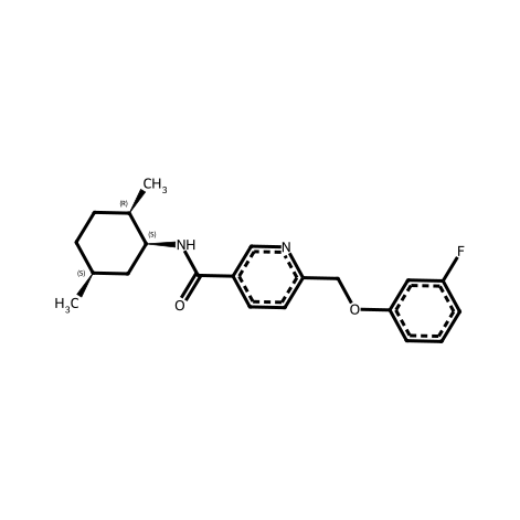 C[C@H]1CC[C@@H](C)[C@@H](NC(=O)c2ccc(COc3cccc(F)c3)nc2)C1